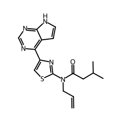 C=CCN(C(=O)CC(C)C)c1nc(-c2ncnc3[nH]ccc23)cs1